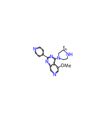 COc1cncc2nc(-c3ccncc3)nc(N3CCN[C@H](C)C3)c12